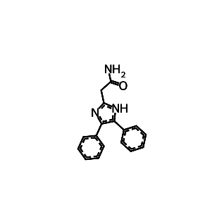 NC(=O)Cc1nc(-c2ccccc2)c(-c2ccccc2)[nH]1